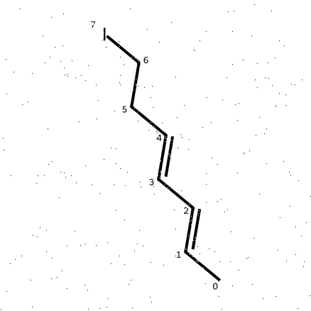 CC=CC=CCCI